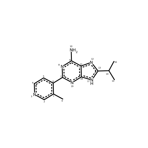 Cc1cnccc1-c1nc(N)c2nc(C(C)C)[nH]c2n1